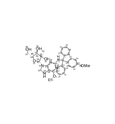 CCOc1nc(NC(c2ccccc2)(c2ccccc2)c2ccc(OC)cc2)nc2c1NCN2[C@@H]1O[C@H](CO)[C@@H](O)[C@@]1(C)O